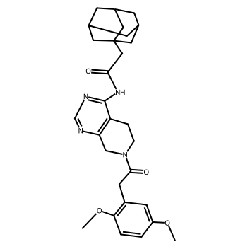 COc1ccc(OC)c(CC(=O)N2CCc3c(ncnc3NC(=O)CC34CC5CC(CC(C5)C3)C4)C2)c1